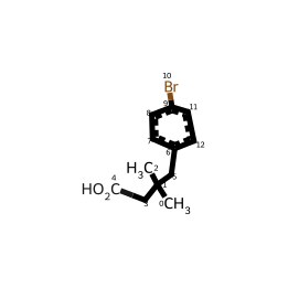 CC(C)(CC(=O)O)Cc1ccc(Br)cc1